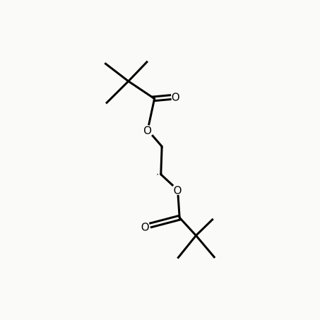 CC(C)(C)C(=O)O[CH]COC(=O)C(C)(C)C